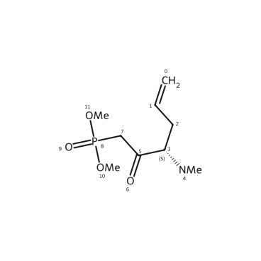 C=CC[C@H](NC)C(=O)CP(=O)(OC)OC